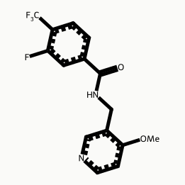 COc1ccncc1CNC(=O)c1ccc(C(F)(F)F)c(F)c1